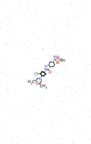 C[C@@H]1CN(c2ccc(NC(=O)[C@H]3CC[C@H](NS(=O)(=O)C(C)(C)C)CC3)cc2Cl)C[C@H](C)O1